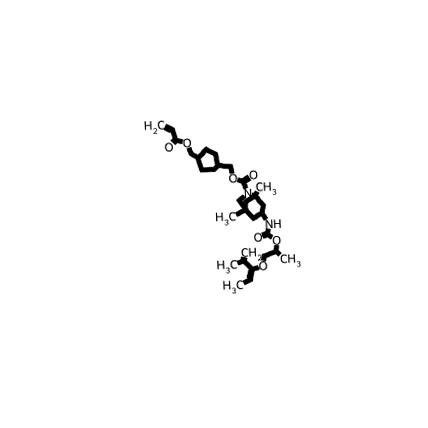 C=CC(=O)OCC1CCC(COC(=O)N2CC3(C)CC(NC(=O)OC(C)COC(=CC)C(=C)C)CC2(C)C3)CC1